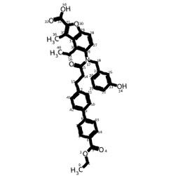 CCOC(=O)c1ccc(-c2ccc(CCC(=O)N(Cc3cccc(O)c3)c3ccc4oc(C(=O)O)c(C)c4c3CC)cc2)cc1